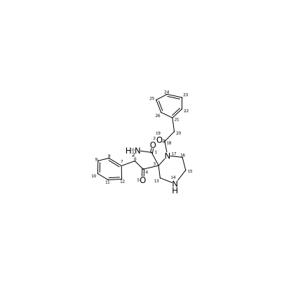 NC(=O)C1(C(=O)Cc2ccccc2)CNCCN1C(=O)Cc1ccccc1